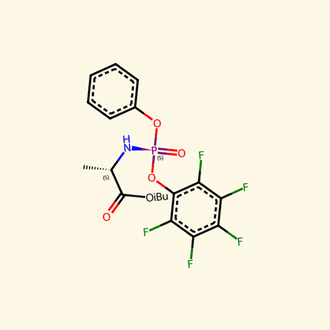 CC(C)COC(=O)[C@H](C)N[P@](=O)(Oc1ccccc1)Oc1c(F)c(F)c(F)c(F)c1F